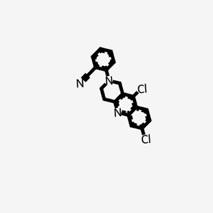 N#Cc1ccccc1N1CCc2nc3cc(Cl)ccc3c(Cl)c2C1